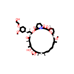 CO[C@H]1C[C@@H]2CC[C@@H](C)[C@@](O)(O2)C(=O)C(=O)N2CCCC[C@H]2C(=O)O[C@H]([C@@H](C)C[C@H]2CC[C@@H](OCCO)[C@H](OC)C2)CC(=O)[C@H](C)/C=C(\C)[C@@H](O)[C@@H](OC)C(=O)[C@H](C)C[C@H](C)/C=C/C=C/C=C/1C